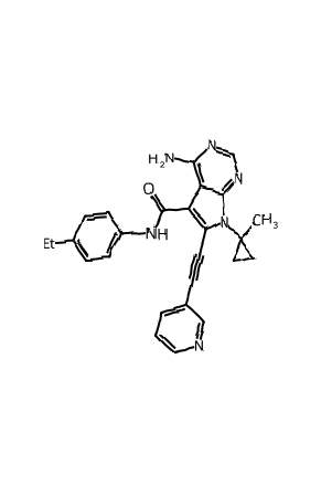 CCc1ccc(NC(=O)c2c(C#Cc3cccnc3)n(C3(C)CC3)c3ncnc(N)c23)cc1